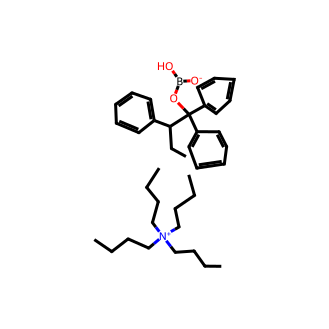 CCC(c1ccccc1)C(OB([O-])O)(c1ccccc1)c1ccccc1.CCCC[N+](CCCC)(CCCC)CCCC